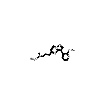 COc1ncccc1-c1cnn2ccc(CCCN(C)C(=O)O)nc12